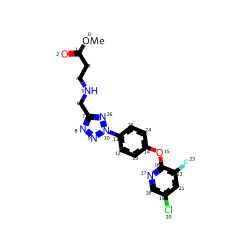 COC(=O)CCNCc1nnn(-c2ccc(Oc3ncc(Cl)cc3F)cc2)n1